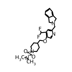 CN(C)S(=O)(=O)N1CCC(COc2cnc(CN3Cc4ccccc4C3)cc2C(F)F)CC1